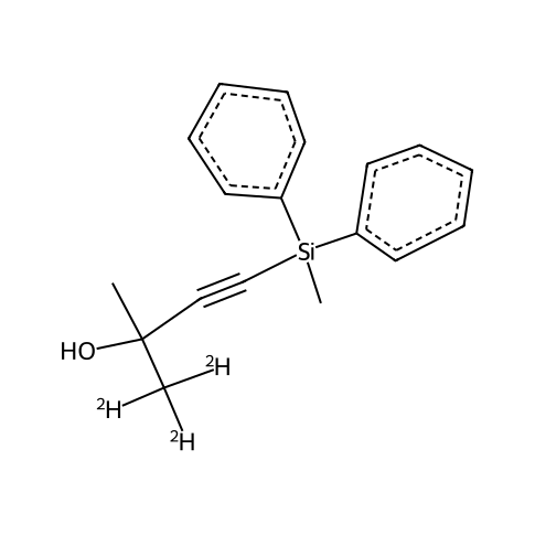 [2H]C([2H])([2H])C(C)(O)C#C[Si](C)(c1ccccc1)c1ccccc1